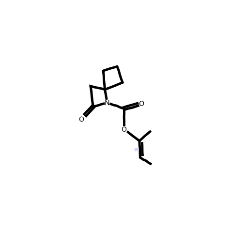 C/C=C(\C)OC(=O)N1C(=O)CC12CCC2